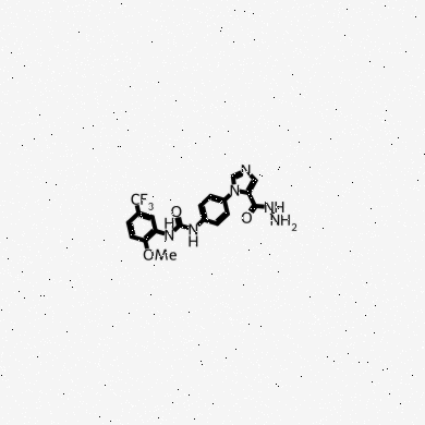 COc1ccc(C(F)(F)F)cc1NC(=O)Nc1ccc(-n2cncc2C(=O)NN)cc1